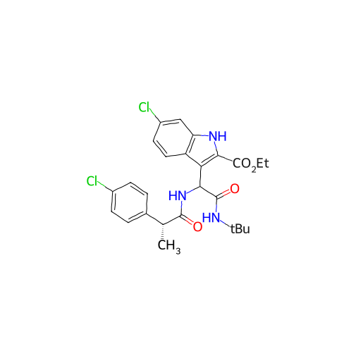 CCOC(=O)c1[nH]c2cc(Cl)ccc2c1C(NC(=O)[C@H](C)c1ccc(Cl)cc1)C(=O)NC(C)(C)C